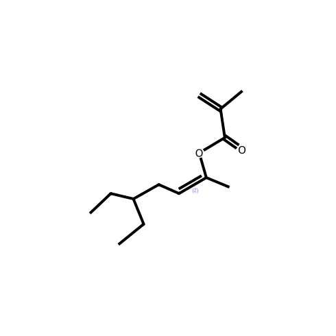 C=C(C)C(=O)O/C(C)=C\CC(CC)CC